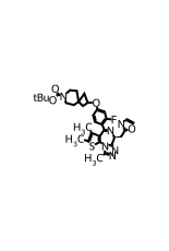 Cc1sc2c(c1C)C(c1ccc(OC3CC4(CCN(C(=O)OC(C)(C)C)CC4)C3)cc1F)=N[C@@H](Cc1ncco1)c1nnc(C)n1-2